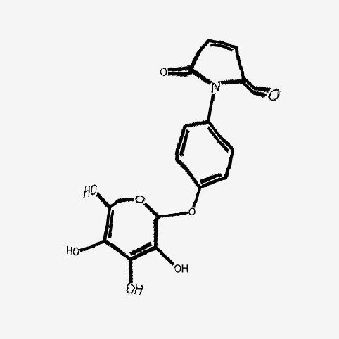 O=C1C=CC(=O)N1c1ccc(OC2OC(O)=C(O)C(O)=C2O)cc1